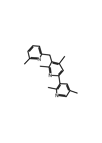 Cc1cnc(C)c(-c2cc(C)c(Cc3cccc(C)n3)c(C)n2)c1